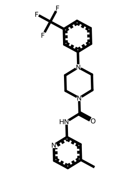 Cc1ccnc(NC(=O)N2CCN(c3cccc(C(F)(F)F)c3)CC2)c1